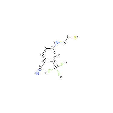 N#Cc1ccc(N=CC=S)cc1C(F)(F)F